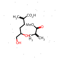 C=C(C)C(=O)OC.C=C(CCC(O)CO)C(=O)O